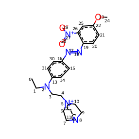 CCN(CC[N+]12CCN(CC1)CC2)c1ccc(N=Nc2ccc(OC)cc2[N+](=O)[O-])cc1